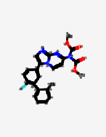 CC(C)(C)OC(=O)N(C(=O)OC(C)(C)C)c1ccn2c(-c3ccc(F)c(-c4ccccc4C#N)c3)cnc2n1